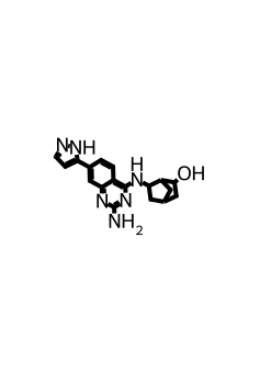 Nc1nc(NC2CC3CC(O)C2C3)c2ccc(-c3ccn[nH]3)cc2n1